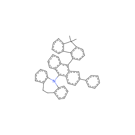 CC1(C)c2ccccc2-c2c(-c3c4ccccc4c(N4c5ccccc5CCc5ccccc54)c4ccc(-c5ccccc5)cc34)cccc21